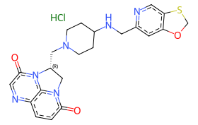 Cl.O=c1ccc2ncc(=O)n3c2n1C[C@H]3CN1CCC(NCc2cc3c(cn2)SCO3)CC1